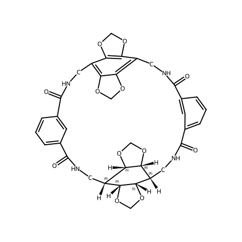 O=C1NCc2c3c(c(c4c2OCO4)CNC(=O)c2cccc(c2)C(=O)NC[C@H]2[C@H]4OCO[C@H]4[C@@H](CNC(=O)c4cccc1c4)[C@H]1OCO[C@@H]21)OCO3